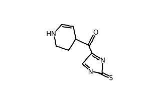 O=C(C1=NC(=S)N=C1)C1C=CNCC1